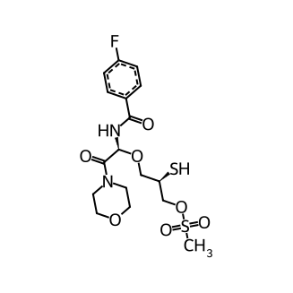 CS(=O)(=O)OC[C@H](S)CO[C@H](NC(=O)c1ccc(F)cc1)C(=O)N1CCOCC1